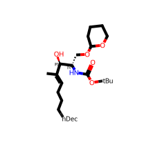 CCCCCCCCCCCCCC=C(C)[C@@H](O)[C@H](COC1CCCCO1)NC(=O)OC(C)(C)C